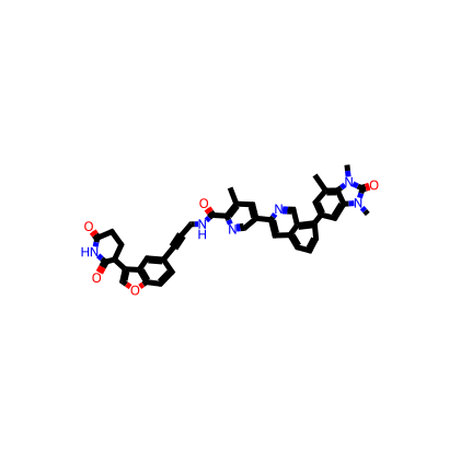 Cc1cc(-c2cc3cccc(-c4cc(C)c5c(c4)n(C)c(=O)n5C)c3cn2)cnc1C(=O)NCC#Cc1ccc2occ(C3CCC(=O)NC3=O)c2c1